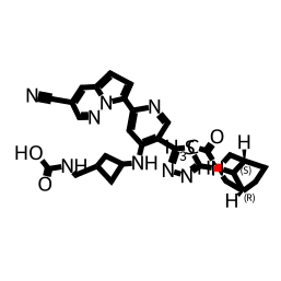 CC(=O)NC1[C@@H]2CC[C@H]1CN(c1nnc(-c3cnc(-c4ccc5cc(C#N)cnn45)cc3NC3CC(CNC(=O)O)C3)s1)C2